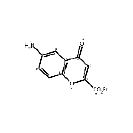 CCOC(=O)c1cc(=O)c2cc(N)ccc2o1